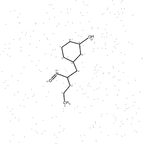 CCCC(CC1CCCC(O)C1)N=O